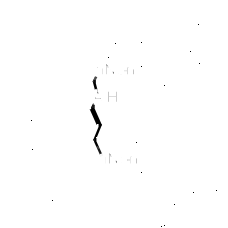 CCCCCCCCCCC=[CH][AlH][CH2]CCCCCCCCC